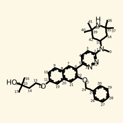 CN(c1ccc(-c2cc3ccc(OCCC(C)(C)O)cc3cc2OCc2ccccc2)nn1)C1CC(C)(C)NC(C)(C)C1